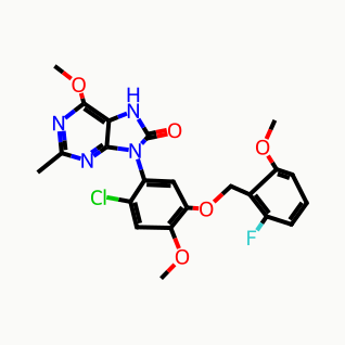 COc1cc(Cl)c(-n2c(=O)[nH]c3c(OC)nc(C)nc32)cc1OCc1c(F)cccc1OC